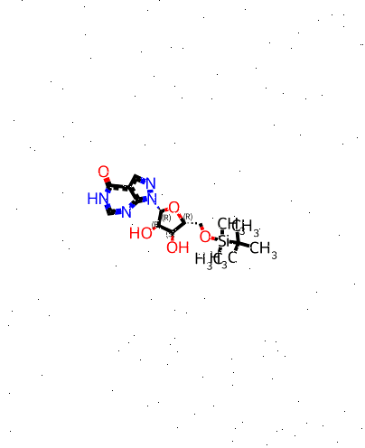 CC(C)(C)[Si](C)(C)OC[C@H]1O[C@@H](n2ncc3c(=O)[nH]cnc32)[C@H](O)[C@@H]1O